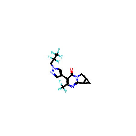 O=c1c(-c2cnn(CC(F)(F)C(F)(F)F)c2)c(C(F)(F)F)nc2n1CC1CC21